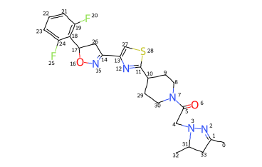 CC1=NN(CC(=O)N2CCC(c3nc(C4=NOC(c5c(F)cccc5F)C4)cs3)CC2)C(C)C1